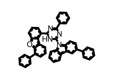 c1ccc(C2=NC(c3cccc4oc5c(-c6ccccc6)cccc5c34)NC(n3c4ccccc4c4cc(-c5ccccc5)ccc43)=N2)cc1